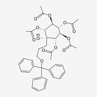 CC(=O)O[C@@H]1[C@@H](OC(C)=O)[C@H](OC(C)=O)[C@@](O)(CCCOC(c2ccccc2)(c2ccccc2)c2ccccc2)[C@H](OC(C)=O)[C@H]1OC(C)=O